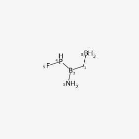 BCB(N)PF